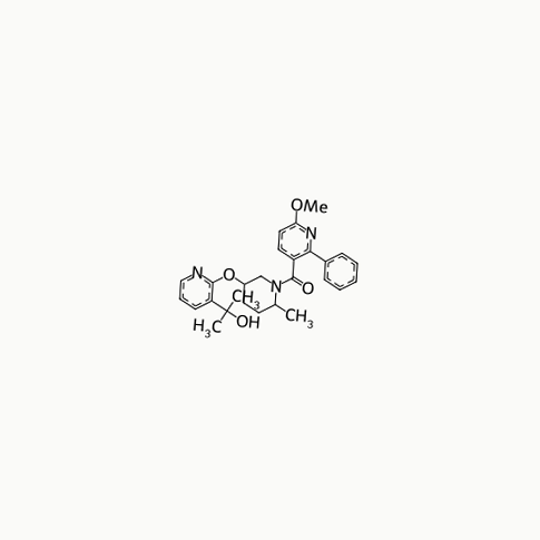 COc1ccc(C(=O)N2CC(Oc3ncccc3C(C)(C)O)CCC2C)c(-c2ccccc2)n1